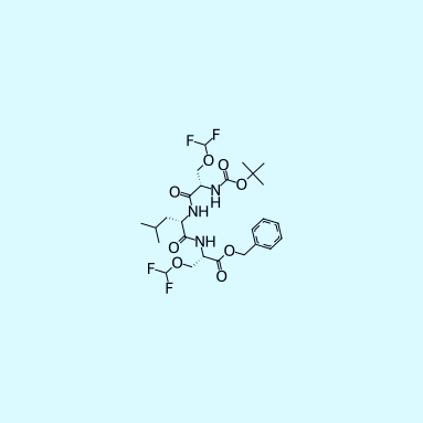 CC(C)C[C@H](NC(=O)[C@H](COC(F)F)NC(=O)OC(C)(C)C)C(=O)N[C@@H](COC(F)F)C(=O)OCc1ccccc1